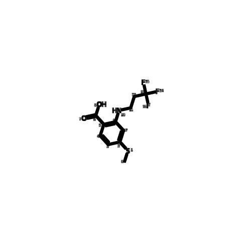 CSc1ccc(C(=O)O)c(NCCC(F)(F)F)c1